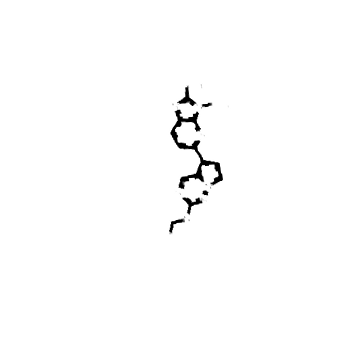 Cc1nc2ccc(-c3ccn4nc(NCC(F)(F)F)ncc34)nc2n1C